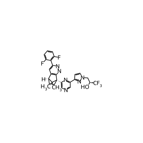 CC1(C)[C@H]2CC[C@]1(c1cncc(-c3ccn(C[C@H](O)C(F)(F)F)n3)n1)c1nnc(-c3c(F)cccc3F)cc12